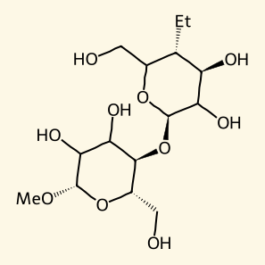 CC[C@H]1C(CO)O[C@H](O[C@@H]2C(O)C(O)[C@@H](OC)O[C@H]2CO)C(O)[C@@H]1O